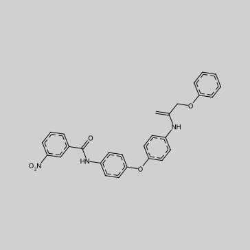 C=C(COc1ccccc1)Nc1ccc(Oc2ccc(NC(=O)c3cccc([N+](=O)[O-])c3)cc2)cc1